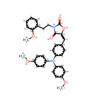 COc1ccc(N(c2ccc(/C=C3/OC(=O)N(CCc4ccccc4OC)C3=O)cc2)c2ccc(OC)cc2)cc1